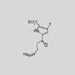 CCCCCCCCCCCC(=O)c1cc(F)c(C(=O)OCC)[nH]1